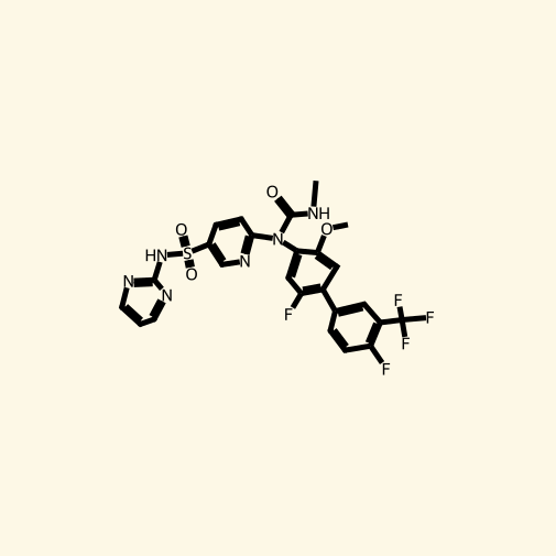 CNC(=O)N(c1ccc(S(=O)(=O)Nc2ncccn2)cn1)c1cc(F)c(-c2ccc(F)c(C(F)(F)F)c2)cc1OC